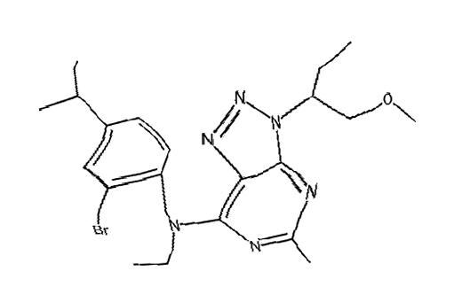 CCC(COC)n1nnc2c(N(CC)c3ccc(C(C)C)cc3Br)nc(C)nc21